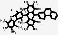 Bc1c(B)c(B)c2c(oc3c(B)c(B)c(-c4c5c(B)c(B)c(B)c(B)c5c(-c5ccc6c(ccc7ccccc76)c5)c5c(B)c(B)c(B)c(B)c45)c(B)c32)c1B